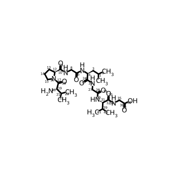 CC(C)C[C@H](NC(=O)CNC(=O)[C@@H]1CCCN1C(=O)[C@@H](N)C(C)C)C(=O)NCC(=O)N[C@H](C(=O)NCC(=O)O)C(C)C